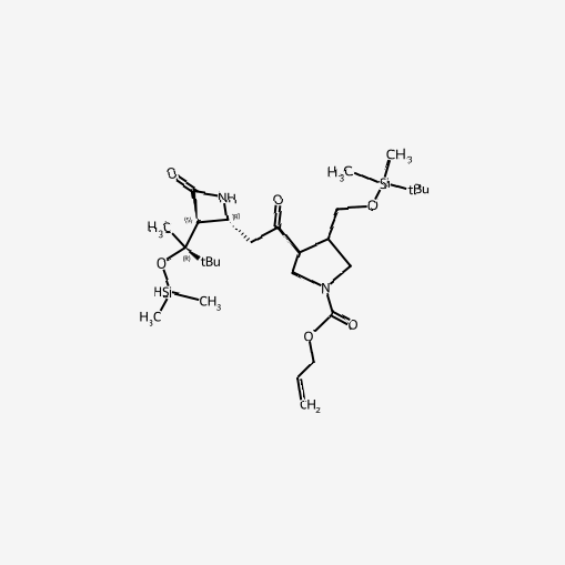 C=CCOC(=O)N1CC(CO[Si](C)(C)C(C)(C)C)C(C(=O)C[C@H]2NC(=O)[C@@H]2[C@@](C)(O[SiH](C)C)C(C)(C)C)C1